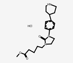 COC(=O)CCCCN1CCN(c2ccc(C3CCNCC3)cc2)C1=O.Cl